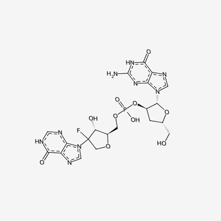 Nc1nc2c(ncn2[C@@H]2O[C@H](CO)C[C@H]2OP(=O)(O)OC[C@H]2OCC(F)(n3cnc4c(=O)[nH]cnc43)[C@@H]2O)c(=O)[nH]1